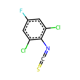 Fc1cc(Cl)c(N=C=S)c(Cl)c1